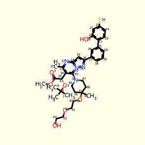 COC(=O)[C@@H](OC(C)(C)C)c1c(C)nc2cc(-c3cccc(-c4ccc(F)cc4O)c3)nn2c1N1CCC(C)(OCCOCCO)CC1